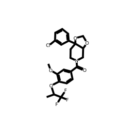 COc1cc(C(=O)N2CCC3(c4cccc(Cl)c4)OCOC3C2)ccc1OC(C)C(F)(F)F